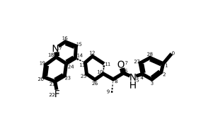 Cc1ccc(NC(=O)[C@H](C)[C@H]2CC[C@@H](c3ccnc4ccc(F)cc43)CC2)cc1